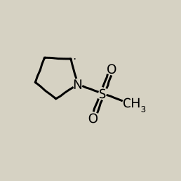 CS(=O)(=O)N1[CH]CCC1